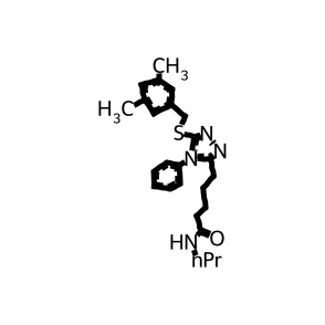 CCCNC(=O)CCCCc1nnc(SCc2cc(C)cc(C)c2)n1-c1ccccc1